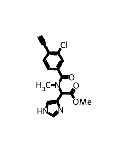 [C]#Cc1ccc(C(=O)N(C)C(C(=O)OC)c2c[nH]cn2)cc1Cl